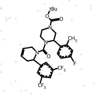 Cc1cc(F)ccc1C1CN(C(=O)OC(C)(C)C)CCN1C(=O)N1CC=CCC1c1cc(C(F)(F)F)cc(C(F)(F)F)c1